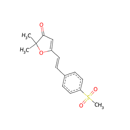 CC1(C)OC(C=Cc2ccc(S(C)(=O)=O)cc2)=CC1=O